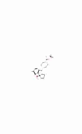 Cc1ccc(CN2CCN(C(=O)OC(C)(C)C)CC2)c(C2(C(=O)O)CCCC2)c1